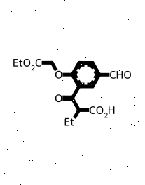 CCOC(=O)COc1ccc(C=O)cc1C(=O)C(CC)C(=O)O